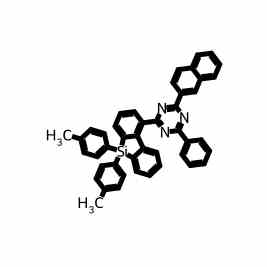 Cc1ccc([Si]2(c3ccc(C)cc3)c3ccccc3-c3c(-c4nc(-c5ccccc5)nc(-c5ccc6ccccc6c5)n4)cccc32)cc1